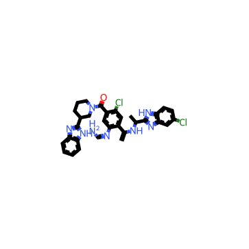 C=C(NC(C)c1nc2cc(Cl)ccc2[nH]1)c1cc(Cl)c(C(=O)N2CCCC(c3nc4ccccc4[nH]3)C2)cc1/N=C\N